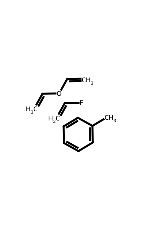 C=CF.C=COC=C.Cc1ccccc1